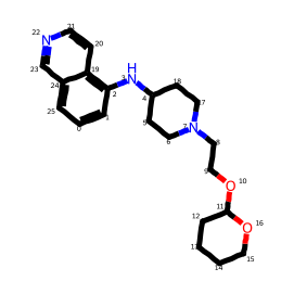 c1cc(NC2CCN(CCOC3CCCCO3)CC2)c2ccncc2c1